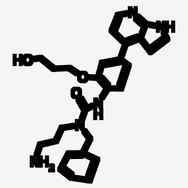 NCCCN(Cc1ccccc1)C(=O)Nc1ccc(-c2ccnc3[nH]ccc23)cc1OCCCO